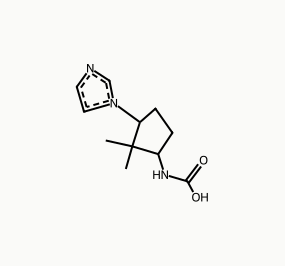 CC1(C)C(NC(=O)O)CCC1n1ccnc1